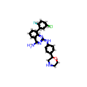 Nc1nc(Nc2ccc(C3CNCCO3)cc2)nc2c(-c3cc(Cl)ccc3F)cccc12